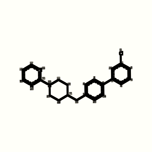 Clc1cccc(-c2ccc(CC3CCN(c4ncccn4)CC3)cc2)c1